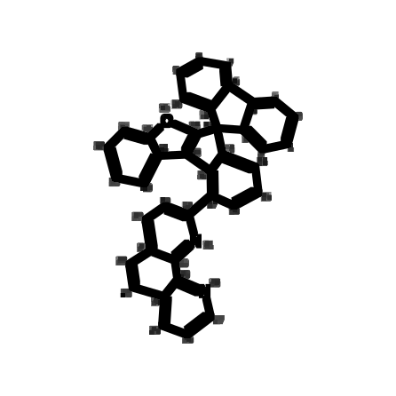 c1ccc2c(c1)-c1ccccc1C21c2cccc(-c3ccc4ccc5cccnc5c4n3)c2-c2c1oc1ccccc21